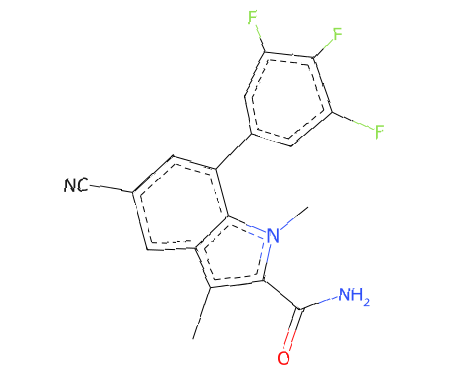 Cc1c(C(N)=O)n(C)c2c(-c3cc(F)c(F)c(F)c3)cc(C#N)cc12